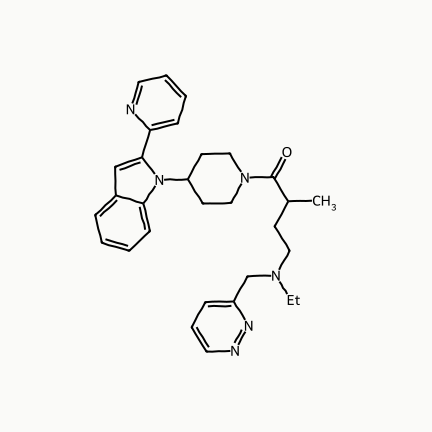 CCN(CCC(C)C(=O)N1CCC(n2c(-c3ccccn3)cc3ccccc32)CC1)Cc1cccnn1